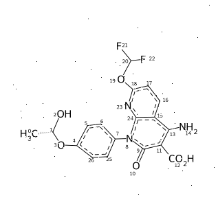 C[C@H](O)Oc1ccc(-n2c(=O)c(C(=O)O)c(N)c3ccc(OC(F)F)nc32)cc1